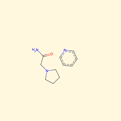 NC(=O)CN1CCCC1.c1ccncc1